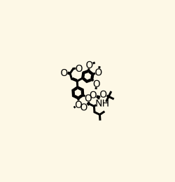 COc1ccc(C2=CC(=O)COc3c2cc(OC)c(OC)c3OC)cc1OC(=O)C(CC(C)C)NC(=O)OC(C)(C)C